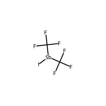 F[C](F)(F)[Sb]([I])[C](F)(F)F